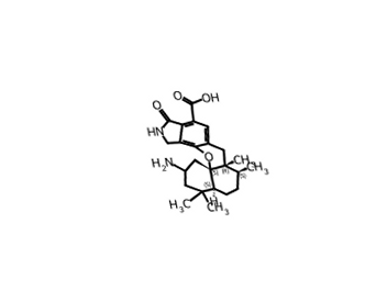 C[C@H]1CC[C@H]2C(C)(C)CC(N)C[C@]23Oc2c(cc(C(=O)O)c4c2CNC4=O)C[C@]13C